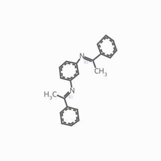 C/C(=N\c1cccc(/N=C(\C)c2ccccc2)c1)c1ccccc1